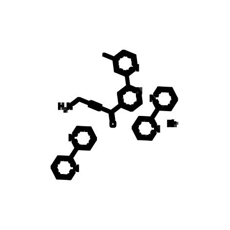 Cc1ccnc(-c2cc(C(=O)C#CCN)ccn2)c1.[Rh].c1ccc(-c2ccccn2)nc1.c1ccc(-c2ccccn2)nc1